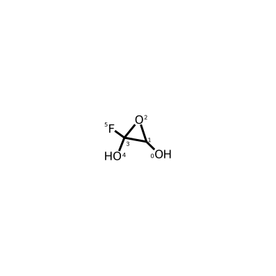 OC1OC1(O)F